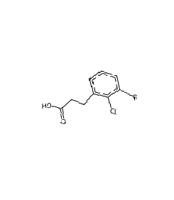 O=C(O)CCc1cccc(F)c1Cl